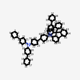 c1ccc(-c2ccc(N(c3ccc(-c4ccccc4)cc3)c3ccc(-c4ccc(N(c5ccc(-c6ccccc6)cc5)c5cccc6c5C5(c7ccccc7-c7ccccc75)c5ccccc5-6)cc4)cc3)cc2)cc1